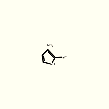 CCCc1ccc[nH]1.N